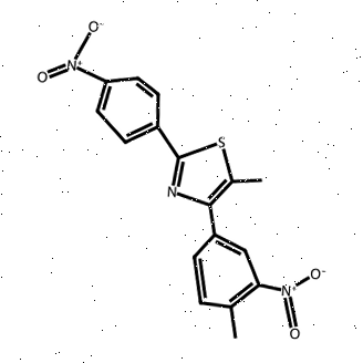 Cc1ccc(-c2nc(-c3ccc([N+](=O)[O-])cc3)sc2C)cc1[N+](=O)[O-]